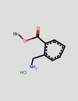 CC(C)(C)OC(=O)c1ccccc1CN.Cl